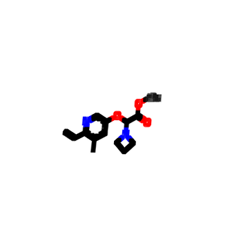 C=Cc1ncc(OC(C(=O)OC(C)(C)C)N2CCC2)cc1C